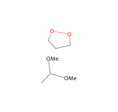 C1COOC1.COC(C)OC